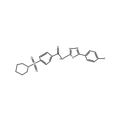 O=C(Nc1nnc(-c2ccc(F)cc2)o1)c1ccc(S(=O)(=O)N2CCCCC2)cc1